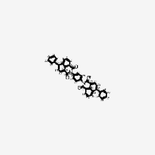 O=C1c2cccc3c(-c4ccccc4)ccc(c23)C(=O)N1c1ccc(N2C(=O)c3cccc4c(-c5ccccc5)ccc(c34)C2=O)cc1